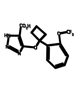 O=C(O)c1[nH]nnc1OC1(c2ccccc2OC(F)(F)F)CCC1